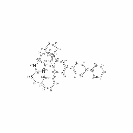 c1ccc(-c2ccc(-c3nc(-c4ccccc4)nc(-c4cccc5c4-n4c(nc6ccccc64)SC5)n3)cc2)cc1